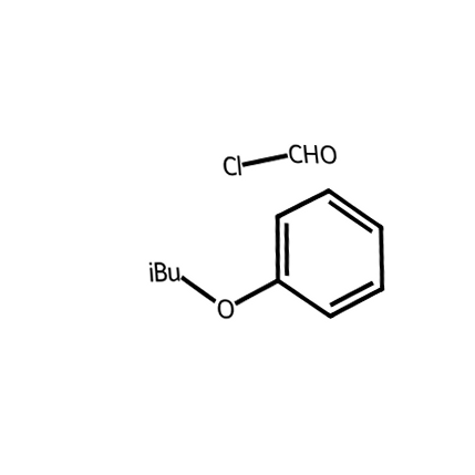 CCC(C)Oc1ccccc1.O=CCl